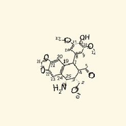 COC[C@H]1C(C=O)C(c2cc(OC)c(O)c(OC)c2)c2cc3c(cc2[C@H]1N)OCO3